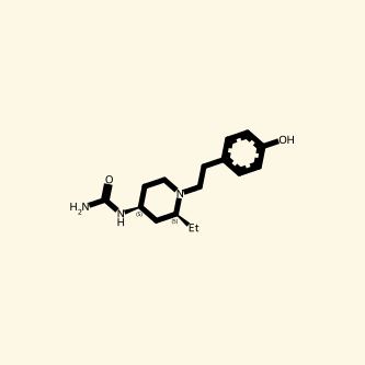 CC[C@H]1C[C@@H](NC(N)=O)CCN1CCc1ccc(O)cc1